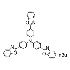 CCCCc1ccc2oc(-c3ccc(N(c4ccc(-c5nc6ccccc6o5)cc4)c4ccc(-c5nc6ccccc6o5)cc4)cc3)nc2c1